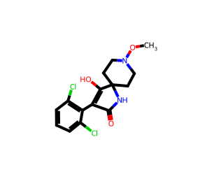 CON1CCC2(CC1)NC(=O)C(c1c(Cl)cccc1Cl)=C2O